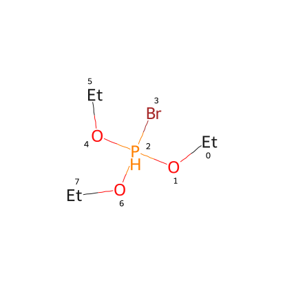 CCO[PH](Br)(OCC)OCC